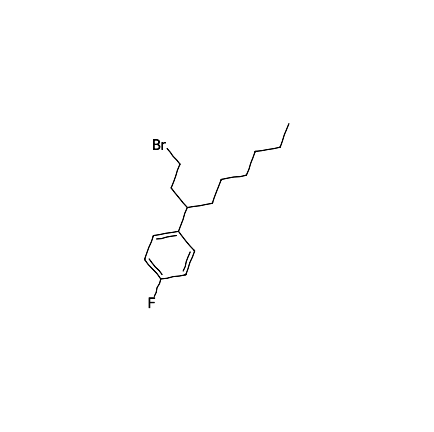 CCCCCCC(CCBr)c1ccc(F)cc1